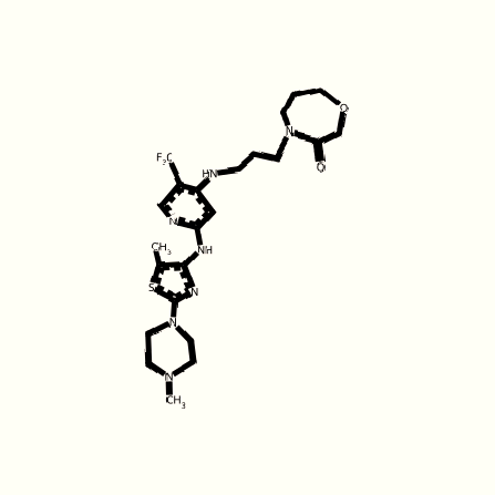 Cc1sc(N2CCN(C)CC2)nc1Nc1cc(NCCCN2CCCOCC2=O)c(C(F)(F)F)cn1